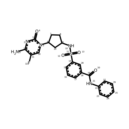 Nc1nc(=O)n(C2CCC(NS(=O)(=O)c3cccc(C(=O)Nc4ccccc4)c3)C2)cc1F